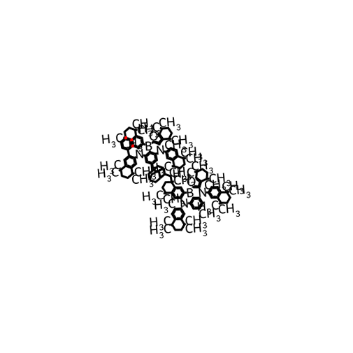 Cc1cc2c3c(c1)N(c1ccc4c(c1)C(C)(C)CCC4(C)C)c1c(oc4c1C(C)(C)CCC4(C)C)B3c1cc3c(cc1N2c1cc2c(cc1C)C(C)(C)CCC2(C)C)C(C)(C)CCC3(C)CC1C2CC3CC1CC(c1cc4c5c(c1)N(c1ccc6c(c1)C(C)(C)CCC6(C)C)c1c(oc6c1C(C)(C)CCC6(C)C)B5c1cc5c(cc1N4c1cc4c(cc1-c1ccccc1)C(C)(C)CCC4(C)C)C(C)(C)CCC5(C)C)(C3)C2